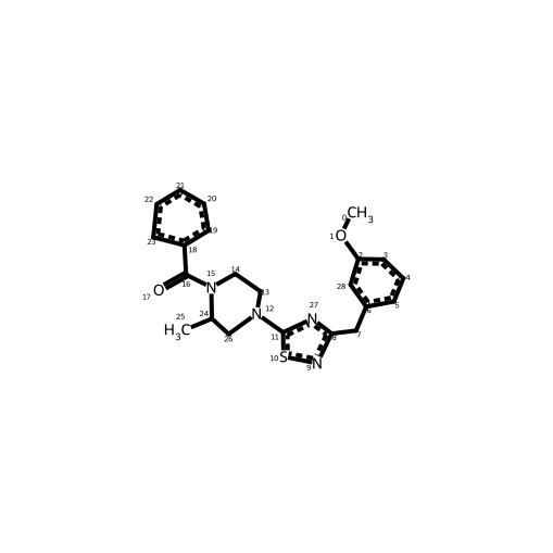 COc1cccc(Cc2nsc(N3CCN(C(=O)c4ccccc4)C(C)C3)n2)c1